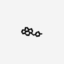 Cc1ccc(Cc2ccc3ccc4cccc5ccc2c3c45)cc1